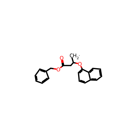 [CH2]C(CC(=O)OCc1ccccc1)Oc1cccc2ccccc12